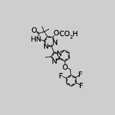 Cc1nc2c(OCc3c(F)ccc(F)c3F)cccn2c1-c1nc2c(c(OC(=O)O)n1)C(C)(C)C(=O)N2